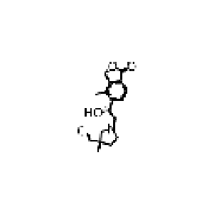 Cc1c([C@@H](O)CN2CCC(C)(CCl)C2)ccc2c1COC2=O